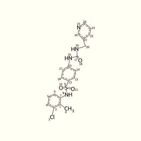 Cc1c(Cl)cccc1NS(=O)(=O)c1ccc(NC(=O)NCc2cccnc2)cc1